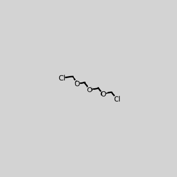 ClCOCOCOCCl